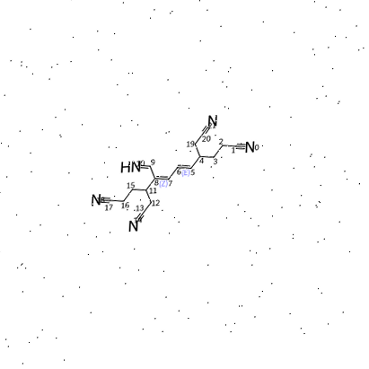 N#CCCC(/C=C/C=C(\C=N)C(CC#N)CCC#N)CC#N